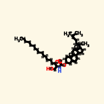 CCCCCCCCCCCCCCCC(O)C(CO)NC(=O)OC1CC[C@@]2(C)C(=CCC3C2CC[C@@]2(C)C3CC[C@@H]2[C@H](C)CCCC(C)C)C1